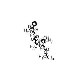 CCCC(NC(=O)[C@@H]1CC(C)(C)CN1C(=O)CNC(=O)OCC(C)C)C(=O)C(=O)NCC(=O)NC(C(N)=O)C1=CC=CCC1